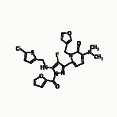 CN(C)c1ccc(-c2nn(C(=O)c3ccco3)c(NCc3ccc(Cl)s3)c2F)n(Cc2ccoc2)c1=O